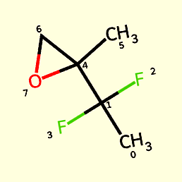 CC(F)(F)C1(C)CO1